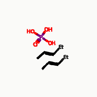 CC=CCC.CC=CCC.O=P(O)(O)O